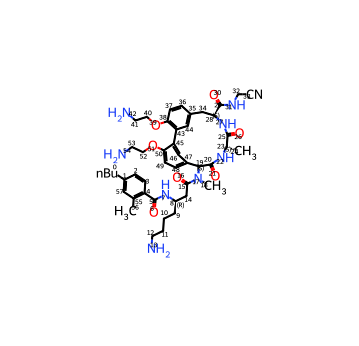 CCCCc1ccc(C(=O)N[C@H](CCCCN)CC(=O)N(C)[C@@H]2C(=O)N[C@@H](C)C(=O)N[C@H](C(=O)NCC#N)Cc3ccc(OCCN)c(c3)-c3cc2ccc3OCCN)c(C)c1